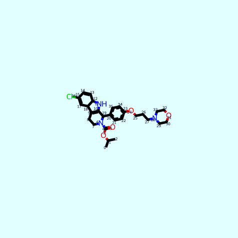 CC(C)OC(=O)N1CCC2=C(NC3C=CC(Cl)=CC23)C1c1ccc(OCCCN2CCOCC2)cc1